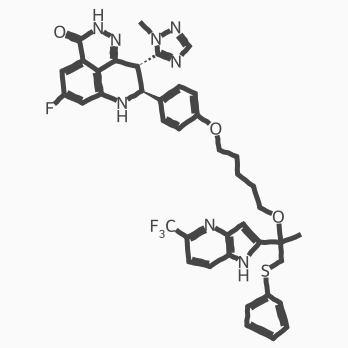 Cn1ncnc1[C@H]1c2n[nH]c(=O)c3cc(F)cc(c23)N[C@@H]1c1ccc(OCCCCCOC(C)(CSc2ccccc2)c2cc3nc(C(F)(F)F)ccc3[nH]2)cc1